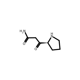 NC(=O)CC(=O)[C@@H]1CCCN1